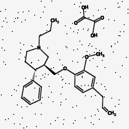 C=CCc1ccc(OC[C@@H]2CN(CCC)CC[C@H]2c2ccccc2)c(OC)c1.O=C(O)C(=O)O